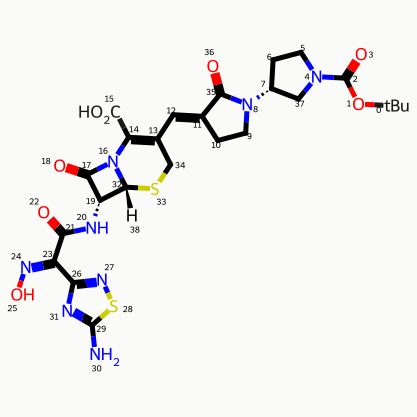 CC(C)(C)OC(=O)N1CC[C@@H](N2CC/C(=C\C3=C(C(=O)O)N4C(=O)[C@@H](NC(=O)/C(=N/O)c5nsc(N)n5)[C@H]4SC3)C2=O)C1